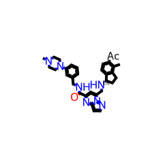 CC(=O)c1ccc2c(c1C)CC[C@@H]2NCc1cc(C(=O)NCc2cccc(N3CCN(C)CC3)c2)nc2ccnn12